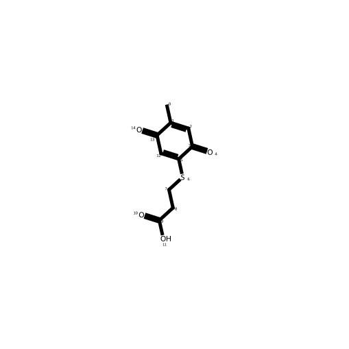 CC1=CC(=O)C(SCCC(=O)O)=CC1=O